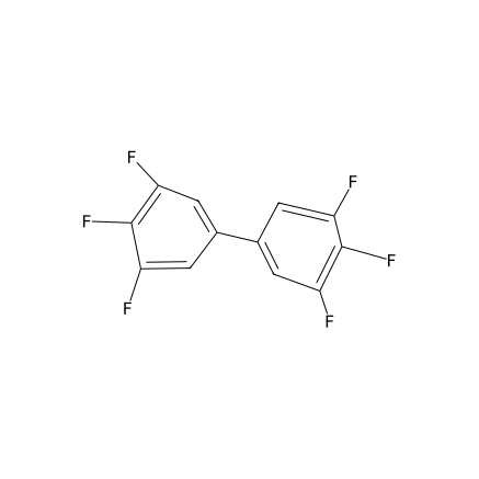 Fc1cc(-c2cc(F)c(F)c(F)c2)cc(F)c1F